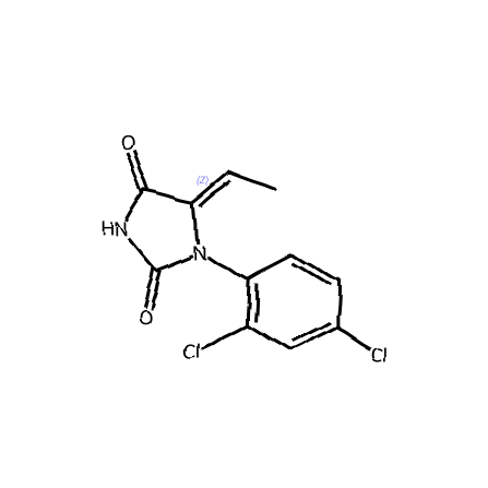 C/C=C1/C(=O)NC(=O)N1c1ccc(Cl)cc1Cl